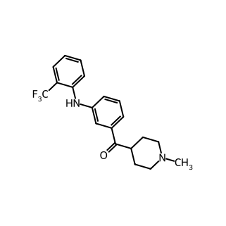 CN1CCC(C(=O)c2cccc(Nc3ccccc3C(F)(F)F)c2)CC1